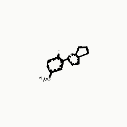 COc1ccc(F)c(-c2ccc3c(n2)CCC3)c1